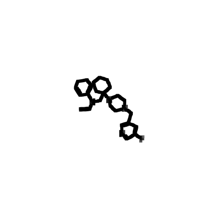 C=CN(CC1(N2CCN(Cc3cncc(F)c3)CC2)CCCCC1)C1=CCCC=C1